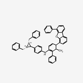 CC1C(c2ccccc2)=C(Nc2ccc(C3[N@@](Cc4ccccc4)[N@@]3Cc3ccccc3)cc2)C=CC1c1cccc2c1oc1c(-c3ccccc3)cccc12